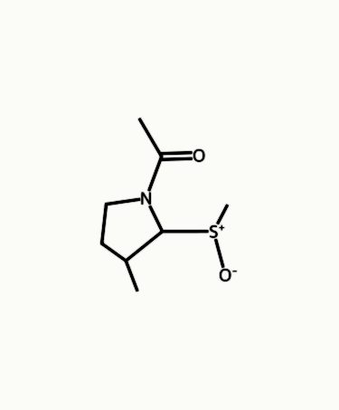 CC(=O)N1CCC(C)C1[S+](C)[O-]